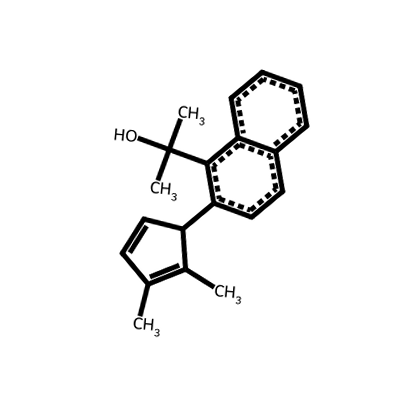 CC1=C(C)C(c2ccc3ccccc3c2C(C)(C)O)C=C1